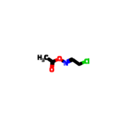 CC(=O)ON=CCCl